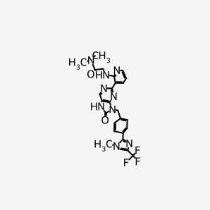 CN(C)C(=O)CNc1ncccc1-c1ncc2[nH]c(=O)n(Cc3ccc(-c4nc(C(F)(F)F)cn4C)cc3)c2n1